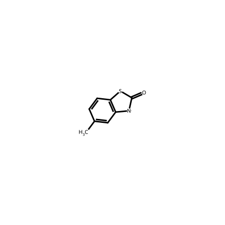 Cc1ccc2c(c1)[N]C(=O)S2